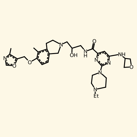 CCN1CCN(c2nc(NC3COC3)cc(C(=O)NCC(O)CN3CCc4c(ccc(OCc5ocnc5C)c4C)C3)n2)CC1